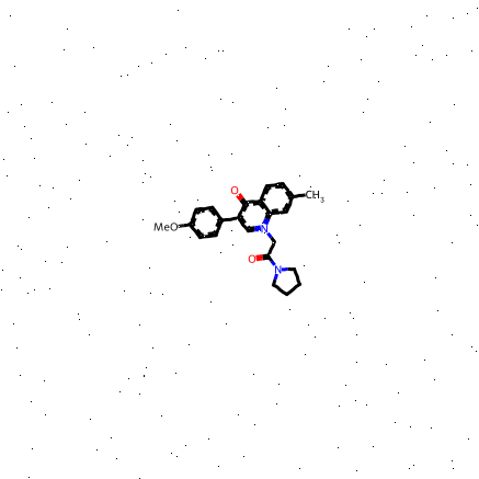 COc1ccc(-c2cn(CC(=O)N3CCCC3)c3cc(C)ccc3c2=O)cc1